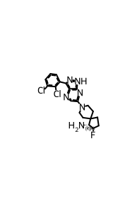 N[C@H]1[C@H](F)CCC12CCN(c1cnc3c(-c4cccc(Cl)c4Cl)n[nH]c3n1)CC2